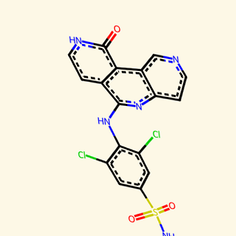 NS(=O)(=O)c1cc(Cl)c(Nc2nc3ccncc3c3c(=O)[nH]ccc23)c(Cl)c1